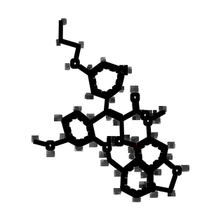 CCCOc1cncc(C(=C(Cc2cc3c(cc2OC)OCO3)C(=O)O)c2ccc(OC)cc2OCc2ccccc2CO)c1